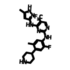 Cc1cc(Nc2nc(Nc3cc(C)c(C4CCNCC4)cc3F)ncc2C(F)(F)F)n[nH]1